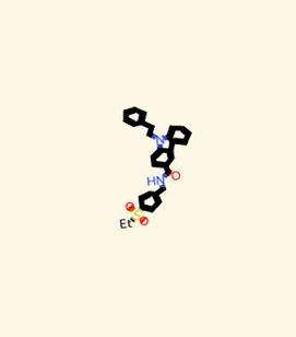 CCS(=O)(=O)c1ccc(CNC(=O)c2ccc3c(c2)c2ccccc2n3CCc2ccccc2)cc1